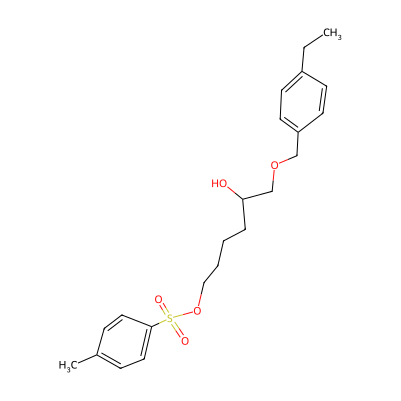 CCc1ccc(COCC(O)CCCCOS(=O)(=O)c2ccc(C)cc2)cc1